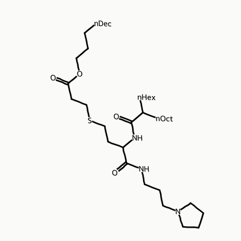 CCCCCCCCCCCCCOC(=O)CCSCCC(NC(=O)C(CCCCCC)CCCCCCCC)C(=O)NCCCN1CCCC1